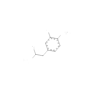 COc1ccc(CC(N)C(=O)O)cc1O